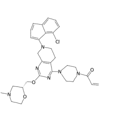 C=CC(=O)N1CCN(c2nc(OC[C@H]3CN(C)CCO3)nc3c2CCN(c2cccc4cccc(Cl)c24)C3)CC1